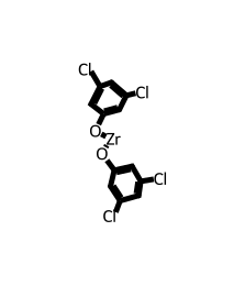 Clc1cc(Cl)cc([O][Zr][O]c2cc(Cl)cc(Cl)c2)c1